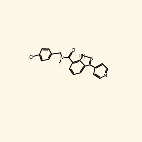 O=C(c1cccc2c(-c3ccncc3)n[nH]c12)N(I)Cc1ccc(Cl)cc1